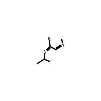 C/N=C\C(Br)=N/C(C)F